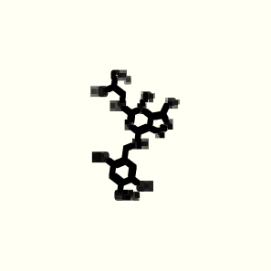 COc1cc(O)c(CNc2nc(NCC(C)O)n(C(C)C)c3c(C(C)C)nnc2-3)cc1O